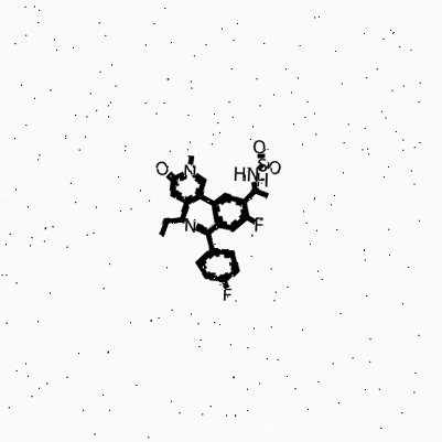 CCC1N=C(c2ccc(F)cc2)c2cc(F)c(C(C)N[SH](=O)=O)cc2-c2cn(C)c(=O)cc21